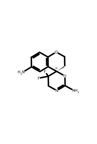 NC1=NCC(F)(F)[C@]2(CCOc3ccc(N)cc32)O1